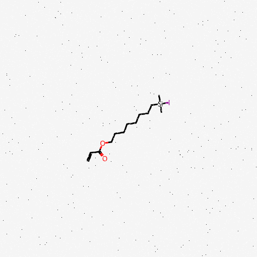 C=CC(=O)OCCCCCCCC[Si](C)(C)I